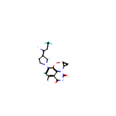 COc1c(N2CCC(C(N)CC(F)(F)F)C2)c(F)c(C)c2c(=O)[nH]c(=O)n(C3CC3)c12